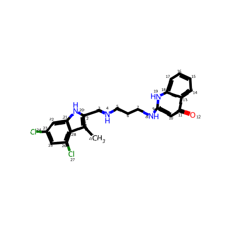 Cc1c(CNCCCNc2cc(=O)c3ccccc3[nH]2)[nH]c2cc(Cl)cc(Cl)c12